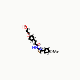 COc1ccc(-c2csc(NC(=O)/C=C/c3ccc(OCCCO)cc3)n2)cc1